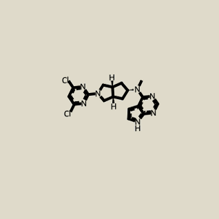 CN(c1ncnc2[nH]ccc12)[C@@H]1C[C@@H]2CN(c3nc(Cl)cc(Cl)n3)C[C@@H]2C1